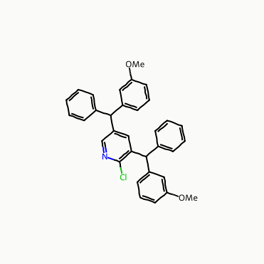 COc1cccc(C(c2ccccc2)c2cnc(Cl)c(C(c3ccccc3)c3cccc(OC)c3)c2)c1